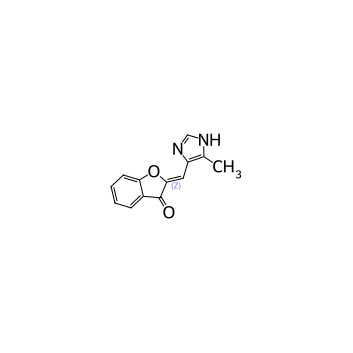 Cc1[nH]cnc1/C=C1\Oc2ccccc2C1=O